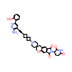 Nc1nnc(-c2ccccc2O)cc1C#CC1CC2(C1)CC(N1CCC3(CC1)COc1cc4c(cc1C3)C(=O)N(C1CCC(=O)NC1=O)C4=O)C2